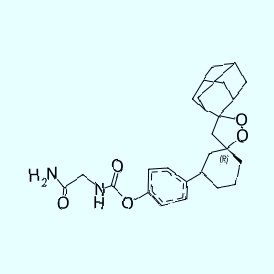 NC(=O)CNC(=O)Oc1ccc(C2CCC[C@@]3(C2)CC2(OO3)C3CC4CC(C3)CC2C4)cc1